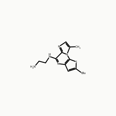 Cc1cnc2c(NCCN)nc3cc(C(C)(C)C)sc3n12